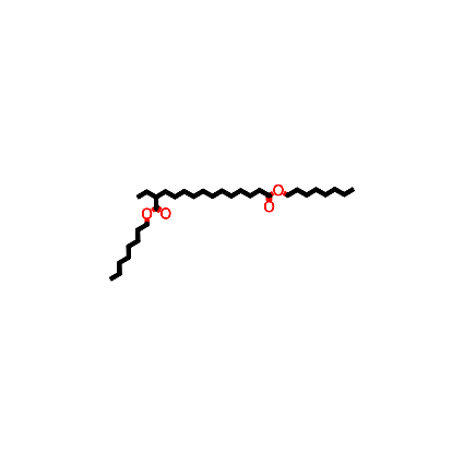 CCCCCCCCOC(=O)CCCCCCCCCCCC(CC)C(=O)OCCCCCCCC